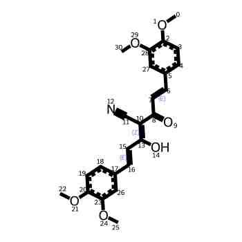 COc1ccc(/C=C/C(=O)/C(C#N)=C(O)/C=C/c2ccc(OC)c(OC)c2)cc1OC